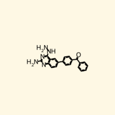 NNc1nc(N)nc2ccc(-c3ccc(C(=O)c4ccccc4)cc3)cc12